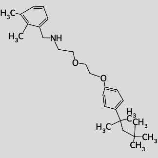 Cc1cccc(CNCCOCCOc2ccc(C(C)(C)CC(C)(C)C)cc2)c1C